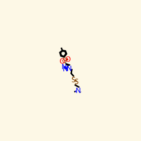 Cc1ccc(S(=O)(=O)c2cn(CCCSSCCN(C)C)nn2)cc1